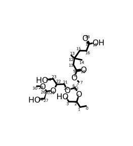 CCC(CO)O[C@@H](COC(=O)CC(C)(C)CCC(=O)O)OCC(CO)O[C@@H](CO)OC